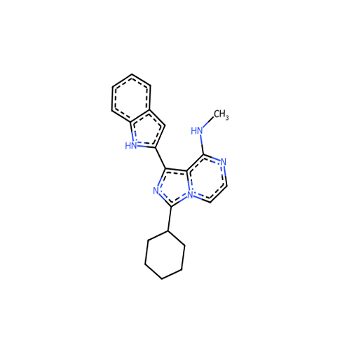 CNc1nccn2c(C3CCCCC3)nc(-c3cc4ccccc4[nH]3)c12